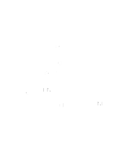 CCOCOC(=O)c1ccccc1Nc1c(Cl)ccc(C)c1Cl.c1ccc2[nH]ccc2c1